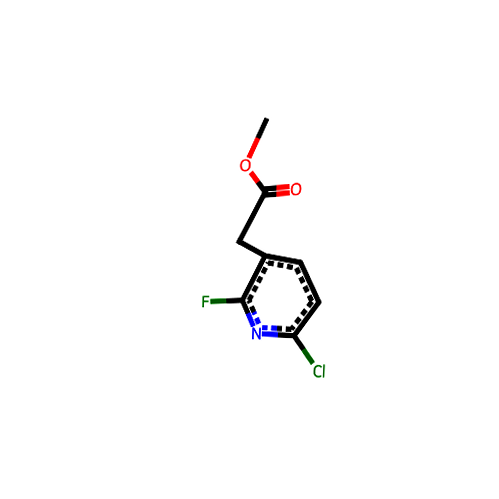 COC(=O)Cc1ccc(Cl)nc1F